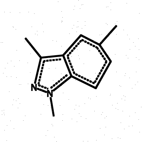 Cc1ccc2c(c1)c(C)nn2C